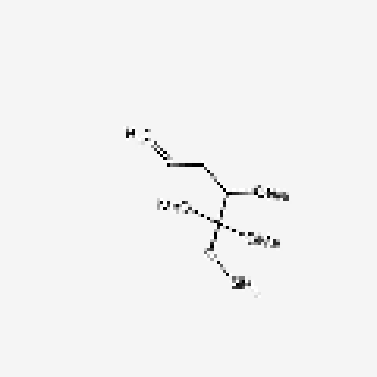 C=CCC(OC)C(OC)(OC)O[SiH3]